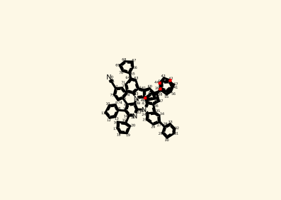 N#Cc1ccc(-c2c(-c3ccccc3)c(-c3ccccc3)nc(-n3c4ccc(-c5ccccc5)cc4c4cc(-c5ccccc5)ccc43)c2-n2c3ccc(-c4ccccc4)cc3c3cc(-c4ccccc4)ccc32)cc1